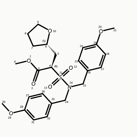 COC(=O)[C@@H](C[C@@H]1CCCO1)S(=O)(=O)N(Cc1ccc(OC)cc1)Cc1ccc(OC)cc1